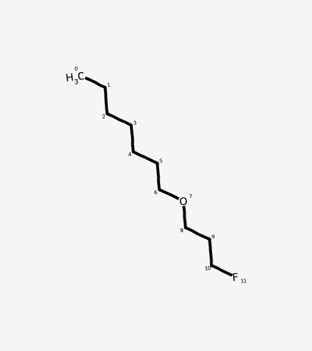 CCCCCCCOCCCF